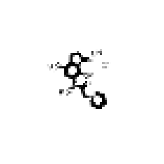 Cc1cc(N(C)C(=O)C[n+]2ccccc2)c(O)c2c1CCC2=NO.[Cl-]